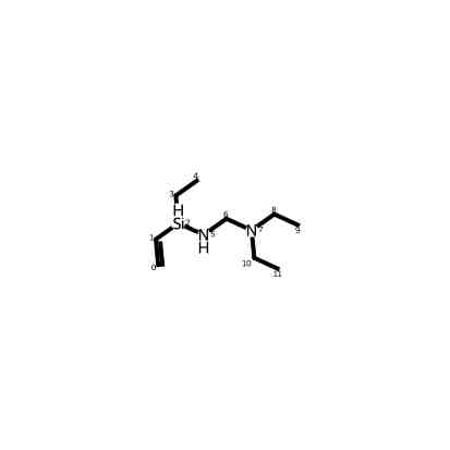 C=C[SiH](CC)NCN(CC)CC